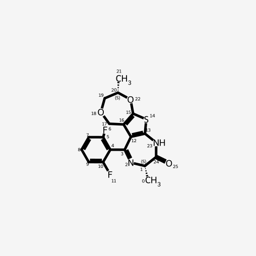 C[C@@H]1N=C(c2c(F)cccc2F)c2c(sc3c2COC[C@H](C)O3)NC1=O